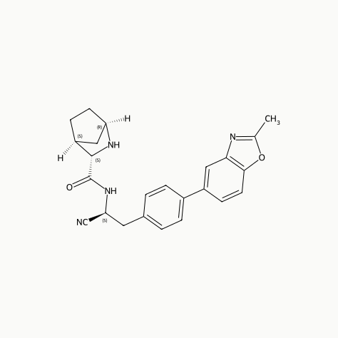 Cc1nc2cc(-c3ccc(C[C@@H](C#N)NC(=O)[C@H]4N[C@@H]5CC[C@H]4C5)cc3)ccc2o1